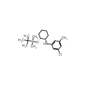 Cc1cc(Cl)cc(N[C@@H]2CCCC[C@H]2O[Si](C)(C)C(C)(C)C)c1